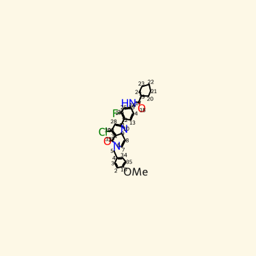 COc1ccc(Cn2ccc3nc(-c4ccc(NC(=O)C5CCCCC5)cc4F)cc(Cl)c3c2=O)cc1